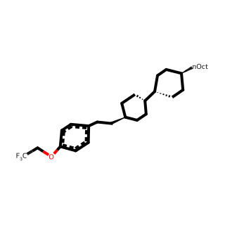 CCCCCCCC[C@H]1CC[C@H]([C@H]2CC[C@H](CCc3ccc(OCC(F)(F)F)cc3)CC2)CC1